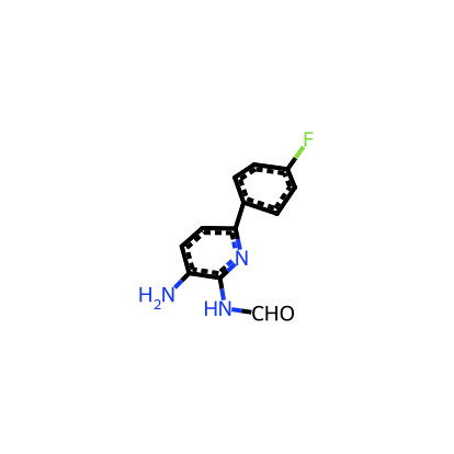 Nc1ccc(-c2ccc(F)cc2)nc1NC=O